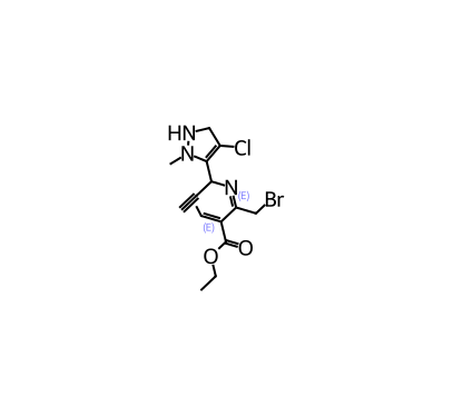 C#CC(/N=C(CBr)\C(=C/C)C(=O)OCC)C1=C(Cl)CNN1C